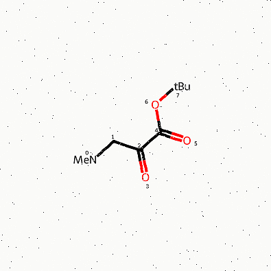 CNCC(=O)C(=O)OC(C)(C)C